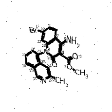 COC(=O)c1c(N)c2ccc(Br)cc2n(-c2cccc3cnc(C)cc23)c1=O